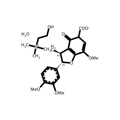 COC1=CC(C(=O)[O-])C(=O)C2=C1O[C@H](c1ccc(OC)c(OC)c1)[C@H]2C.C[N+](C)(C)CCO.O